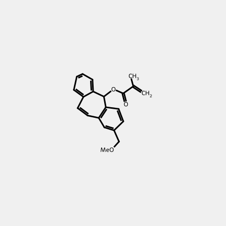 C=C(C)C(=O)OC1c2ccccc2C=Cc2cc(COC)ccc21